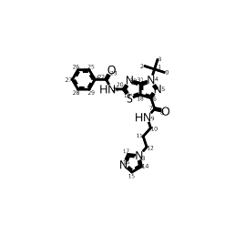 CC(C)(C)n1nc(C(=O)NCCCn2ccnc2)c2sc(NC(=O)c3ccccc3)nc21